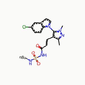 CCCCNS(=O)(=O)NC(=O)C=Cc1c(C)nn(C)c1-n1ccc2cc(Cl)ccc21